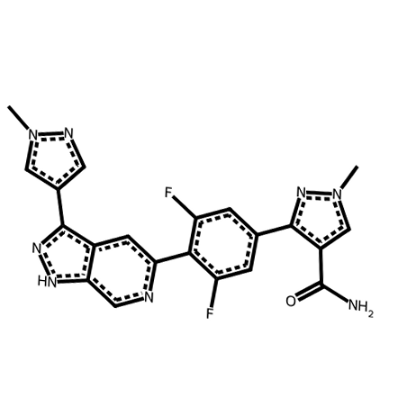 Cn1cc(-c2n[nH]c3cnc(-c4c(F)cc(-c5nn(C)cc5C(N)=O)cc4F)cc23)cn1